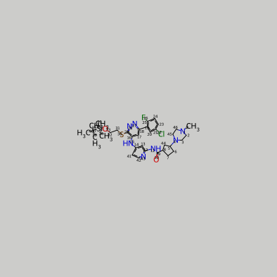 CN1CCN(C2CCC(C(=O)Nc3cc(Nc4cc(-c5cc(Cl)ccc5F)nnc4SCCO[Si](C)(C)C(C)(C)C)ccn3)C2)CC1